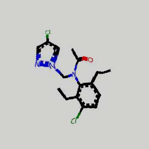 CCc1ccc(Cl)c(CC)c1N(Cn1cc(Cl)cn1)C(C)=O